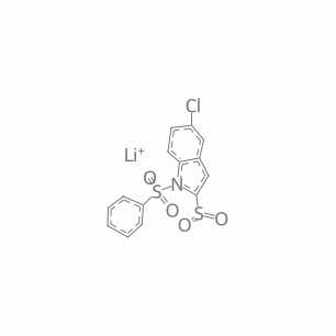 O=S([O-])c1cc2cc(Cl)ccc2n1S(=O)(=O)c1ccccc1.[Li+]